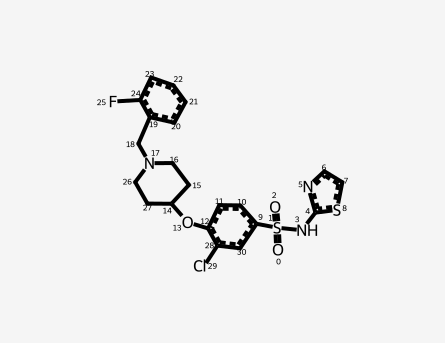 O=S(=O)(Nc1nccs1)c1ccc(OC2CCN(Cc3ccccc3F)CC2)c(Cl)c1